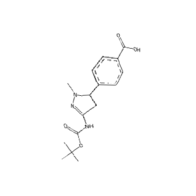 CN1N=C(NC(=O)OC(C)(C)C)CC1c1ccc(C(=O)O)cc1